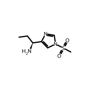 CC[C@H](N)c1cn(S(C)(=O)=O)cn1